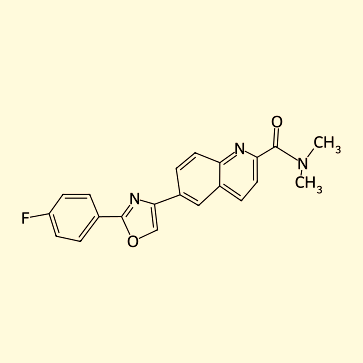 CN(C)C(=O)c1ccc2cc(-c3coc(-c4ccc(F)cc4)n3)ccc2n1